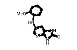 COc1ccccc1Nc1cnc2[nH]c(=O)[nH]c2c1